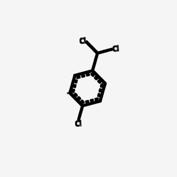 Clc1[c]cc(C(Cl)Cl)cc1